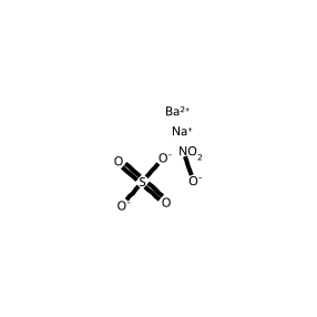 O=S(=O)([O-])[O-].O=[N+]([O-])[O-].[Ba+2].[Na+]